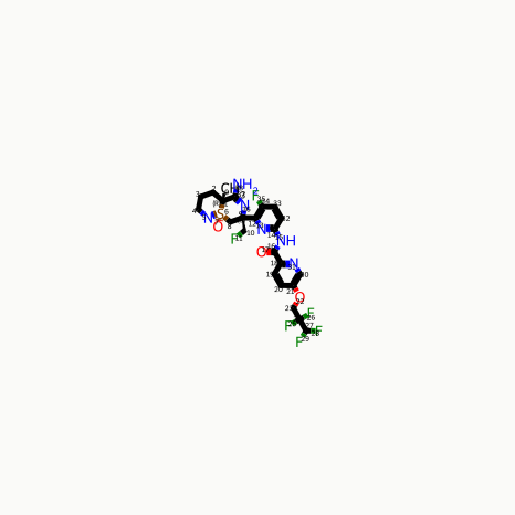 C[C@]12CCCN=S1(=O)C[C@@](CF)(c1nc(NC(=O)c3ccc(OCC(F)(F)C(F)F)cn3)ccc1F)N=C2N